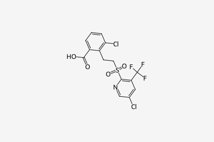 O=C(O)c1cccc(Cl)c1CCS(=O)(=O)c1ncc(Cl)cc1C(F)(F)F